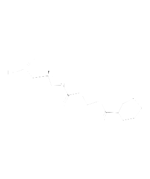 O=C(NC[C@H](F)CS(=O)O)OCOC(=O)C1CCCCC1